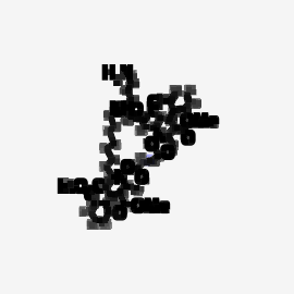 CCOC(=O)C1=C(CCCCCCCN)N(OC(=O)/C=C/C(=O)ON2C(C)=C(C(=O)OC)[C@H](c3ccccc3Cl)C(C(=O)OCC)=C2CCCCCCCN)C(C)=C(C(=O)OC)[C@@H]1c1ccccc1Cl